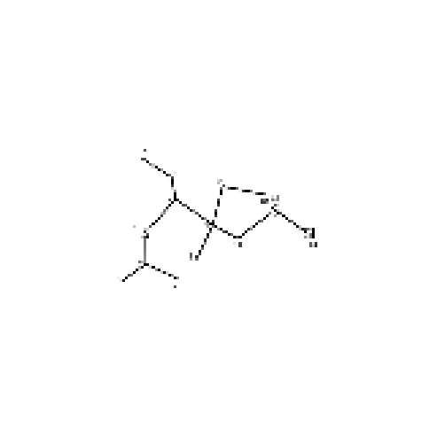 CCC(SC(C)C)C(C)(CC)CSS